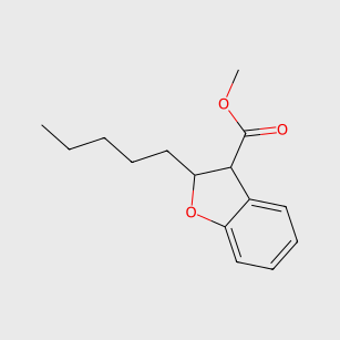 CCCCCC1Oc2ccccc2C1C(=O)OC